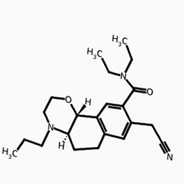 CCCN1CCO[C@@H]2c3cc(C(=O)N(CC)CC)c(CC#N)cc3CC[C@H]21